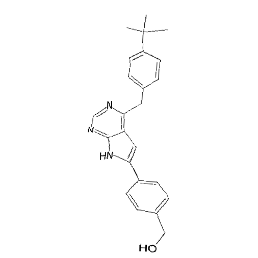 CC(C)(C)c1ccc(Cc2ncnc3[nH]c(-c4ccc(CO)cc4)cc23)cc1